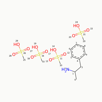 CC(N)Cc1ccccc1.CS(=O)(=O)O.CS(=O)(=O)O.CS(=O)(=O)O.CS(=O)(=O)O